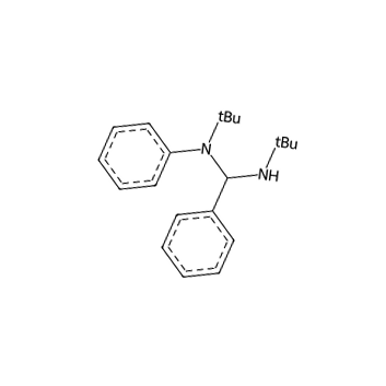 CC(C)(C)NC(c1ccccc1)N(c1ccccc1)C(C)(C)C